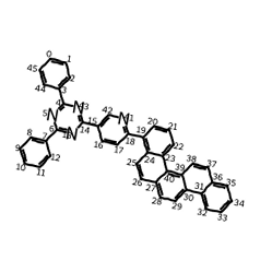 c1ccc(-c2nc(-c3ccccc3)nc(-c3ccc(-c4cccc5c4ccc4ccc6c7ccccc7ccc6c45)nc3)n2)cc1